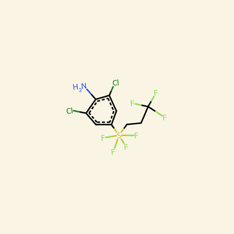 Nc1c(Cl)cc(S(F)(F)(F)(F)CCC(F)(F)F)cc1Cl